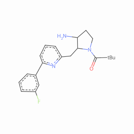 CC(C)(C)C(=O)N1CCC(N)C1Cc1cccc(-c2cccc(F)c2)n1